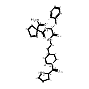 NC(=O)C1(C(=O)N[C@H](Cc2ccccc2)C(=O)NCCC2CCN(C(=O)C3CCCN3)CC2)CCCC1